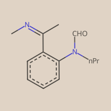 CCCN(C=O)c1ccccc1/C(C)=N\C